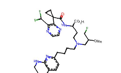 COC(CF)CN(CCCCc1ccc2c(n1)NCCC2)CCC(NC(=O)C1(c2nccnc2C(F)F)CC1)C(=O)O